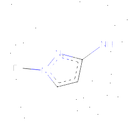 CCn1ccc([NH])n1